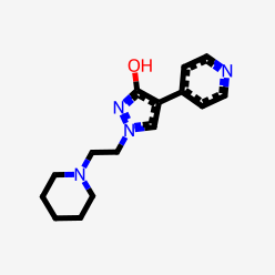 Oc1nn(CCN2CCCCC2)cc1-c1ccncc1